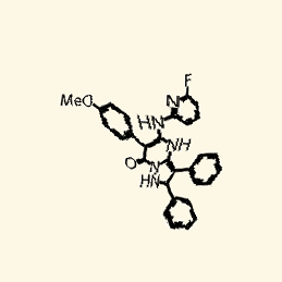 COc1ccc(C2=C(Nc3cccc(F)n3)NC3=C(c4ccccc4)C(c4ccccc4)NN3C2=O)cc1